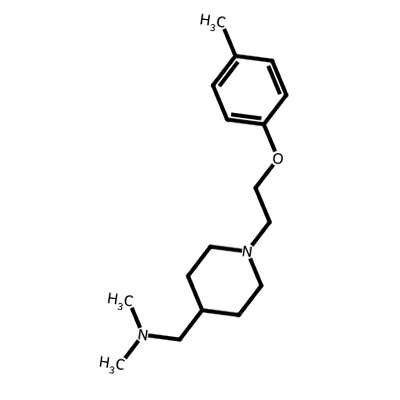 Cc1ccc(OCCN2CCC(CN(C)C)CC2)cc1